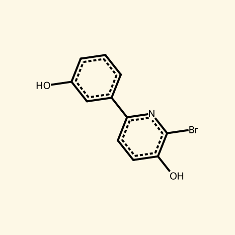 Oc1cccc(-c2ccc(O)c(Br)n2)c1